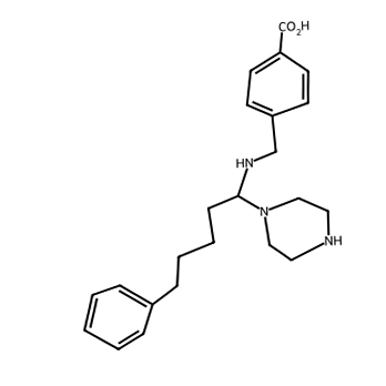 O=C(O)c1ccc(CNC(CCCCc2ccccc2)N2CCNCC2)cc1